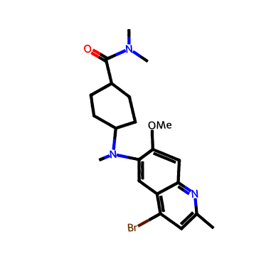 COc1cc2nc(C)cc(Br)c2cc1N(C)C1CCC(C(=O)N(C)C)CC1